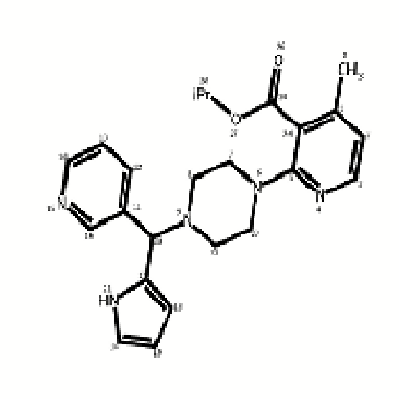 Cc1ccnc(N2CCN(C(c3cccnc3)c3ccc[nH]3)CC2)c1C(=O)OC(C)C